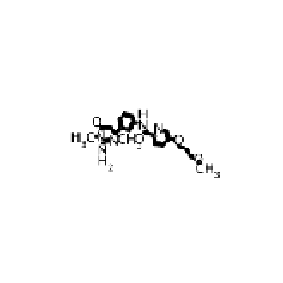 COCCCOc1ccc(C(=O)Nc2cccc(C3(C)CC(=O)N(C)C(N)=N3)c2)nc1